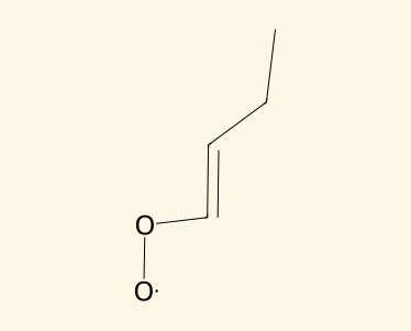 CCC=CO[O]